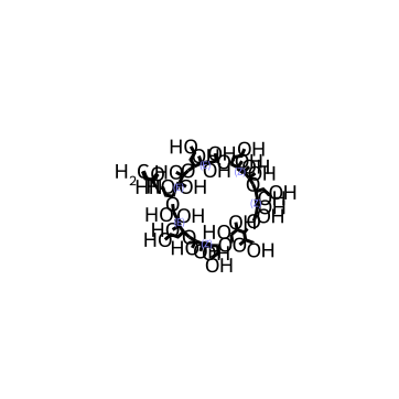 C=CC(=O)NCCC1OC(O)/C(O)=C(\O)C(CCO)OC(O)/C(O)=C(/O)C(CCO)OC2OC(CO)C(OC(O)/C(O)=C(/O)C(CCO)OC(O)/C(O)=C(/O)C(CCO)OC(O)/C(O)=C(\O)C(CCO)OC(O)/C(O)=C/1O)C(O)C2O